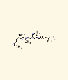 C/C=C\CCC(/C=C/C(C)=C/CC(/C=C\C)=C/C=C/OCCC(C)=N)NC